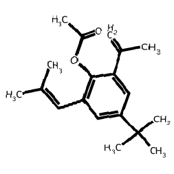 C=C(C)c1cc(C(C)(C)C)cc(C=C(C)C)c1OC(C)=O